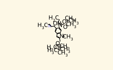 C=CCN(C(=O)OC(C)(C)C)c1cc2c(cc1C(O)/C=C/C)cc(CO[Si](C)(C)C(C)(C)C)n2C